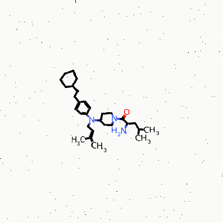 CC(C)=CCN(c1ccc(CCC2CCCCC2)cc1)C1CCN(C(=O)C(N)CC(C)C)CC1